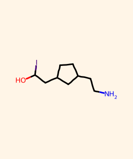 NCCC1CCC(CC(O)I)C1